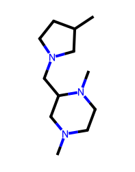 CC1CCN(CC2CN(C)CCN2C)C1